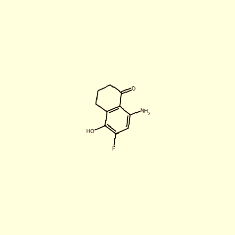 Nc1cc(F)c(O)c2c1C(=O)CCC2